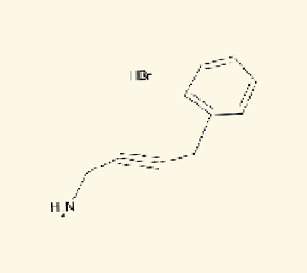 Br.NCC#CCc1ccccc1